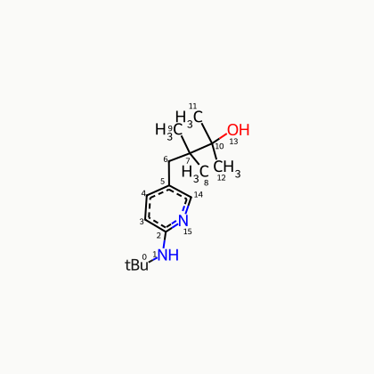 CC(C)(C)Nc1ccc(CC(C)(C)C(C)(C)O)cn1